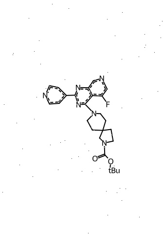 CC(C)(C)OC(=O)N1CCC2(CCN(c3nc(-c4ccncc4)nc4cncc(F)c34)CC2)C1